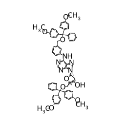 COc1ccc(C(OCc2cccc(Nc3ncnc4c3ncn4[C@H]3C[C@H](O)[C@@H](COC(c4ccccc4)(c4ccc(OC)cc4)c4ccc(OC)cc4)O3)c2)(c2ccccc2)c2ccc(OC)cc2)cc1